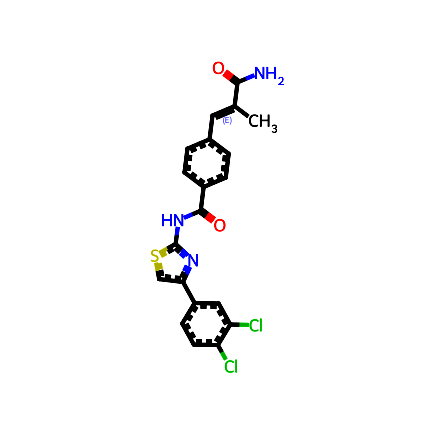 C/C(=C\c1ccc(C(=O)Nc2nc(-c3ccc(Cl)c(Cl)c3)cs2)cc1)C(N)=O